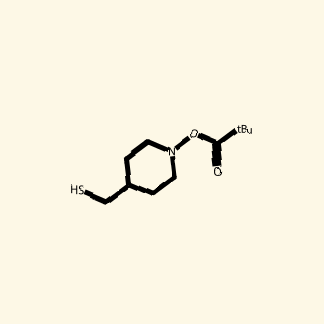 CC(C)(C)C(=O)ON1CCC(CS)CC1